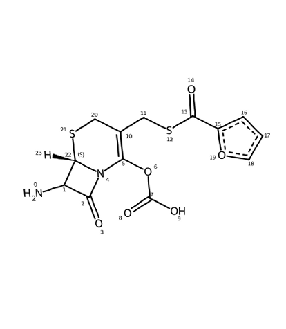 NC1C(=O)N2C(OC(=O)O)=C(CSC(=O)c3ccco3)CS[C@@H]12